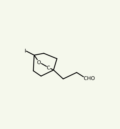 O=CCCC12CCC(I)(CC1)OC2